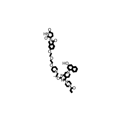 C=CC(=O)N1CCN(c2nc(O[C@H](C)CN3CCC(OCCOCCOc4ccc5c(c4)CN(C4CCC(=O)NC4=O)C5=O)CC3)nc3c2CCN(c2cc(O)cc4ccccc24)C3)CC1